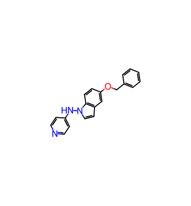 c1ccc(COc2ccc3c(ccn3Nc3ccncc3)c2)cc1